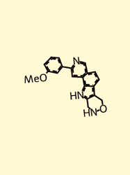 COc1cccc(-c2cc3c(ccc4c5c([nH]c43)CNOC5)cn2)c1